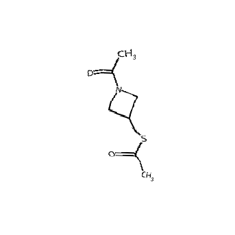 CC(=O)SC1CN(C(C)=O)C1